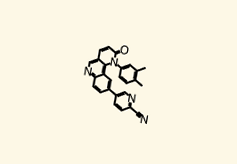 Cc1ccc(-n2c(=O)ccc3cnc4ccc(-c5ccc(C#N)nc5)cc4c32)cc1C